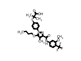 CCCCOc1c(C)c(C(=O)Nc2ccc(C(F)(F)F)c(OC)c2)nn1-c1ccc(SC(C)(C)C(=O)O)cc1